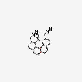 [N-]=[N+]=Cc1ccc2ccccc2c1C(=O)c1c(C=[N+]=[N-])ccc2ccccc12